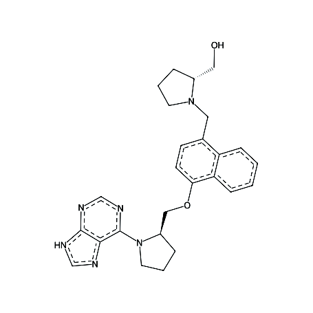 OC[C@H]1CCCN1Cc1ccc(OC[C@H]2CCCN2c2ncnc3[nH]cnc23)c2ccccc12